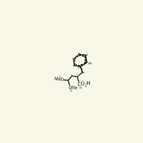 COC(CC(Cc1ccccc1)C(=O)O)OC